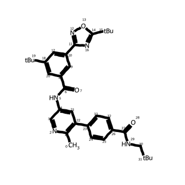 Cc1ncc(NC(=O)c2cc(-c3noc(C(C)(C)C)n3)cc(C(C)(C)C)c2)cc1-c1ccc(C(=O)NCC(C)(C)C)cc1